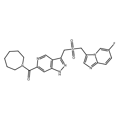 O=C(c1cc2[nH]nc(CS(=O)(=O)Cc3cnc4ccc(F)cn34)c2cn1)N1CCCCCC1